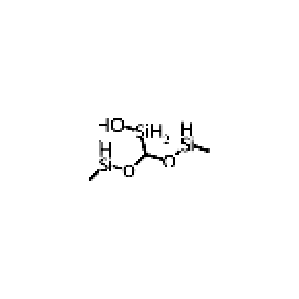 C[SiH](C)OC(O[SiH](C)C)[SiH2]O